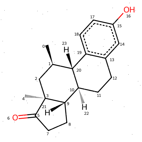 C[C@@H]1C[C@]2(C)C(=O)CC[C@H]2[C@@H]2CCc3cc(O)ccc3[C@H]21